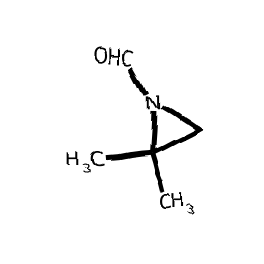 CC1(C)CN1C=O